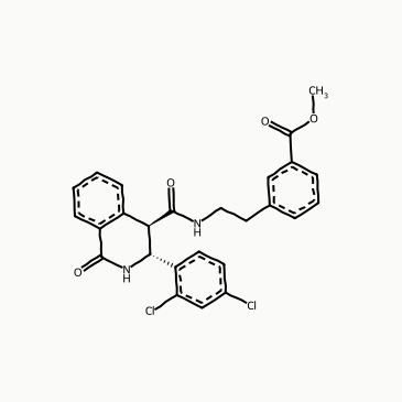 COC(=O)c1cccc(CCNC(=O)[C@@H]2c3ccccc3C(=O)N[C@H]2c2ccc(Cl)cc2Cl)c1